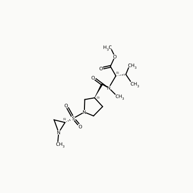 COC(=O)[C@H](C(C)C)N(C)C(=O)[C@H]1CCN(S(=O)(=O)[C@H]2CN2C)C1